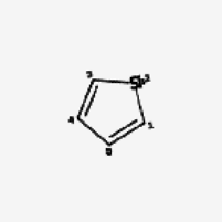 C1=C[Si]C=C1